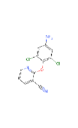 N#Cc1cccnc1Oc1c(Cl)cc(N)cc1Cl